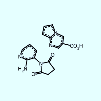 Nc1ncccc1N1C(=O)CCC1=O.O=C(O)c1cnc2cccn2c1